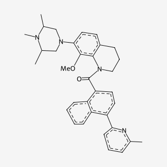 COc1c(N2CC(C)N(C)C(C)C2)ccc2c1N(C(=O)c1ccc(-c3cccc(C)n3)c3ccccc13)CCC2